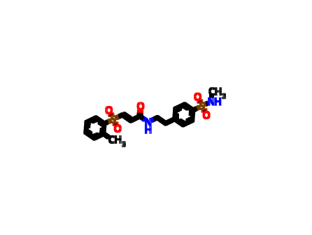 CNS(=O)(=O)c1ccc(CCNC(=O)/C=C/S(=O)(=O)c2ccccc2C)cc1